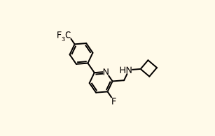 Fc1ccc(-c2ccc(C(F)(F)F)cc2)nc1CNC1CCC1